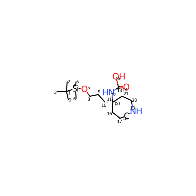 CC(C)(C)[Si](C)(C)OCCC[C@@]1(NC(=O)O)CCCNCC1